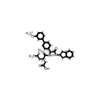 COc1cccc(-c2ccc(C(NC(=O)[C@@H](CC(=O)O)CC(C)C)C(=O)NC3Cc4ccccc4C3)cc2)c1